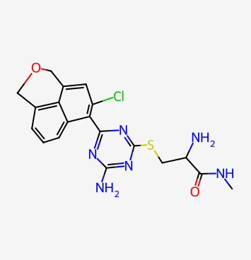 CNC(=O)C(N)CSc1nc(N)nc(-c2c(Cl)cc3c4c(cccc24)COC3)n1